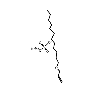 C=CCOCCCCCCCCCCCC.O=S(=O)([O-])[O-].[Na+].[Na+]